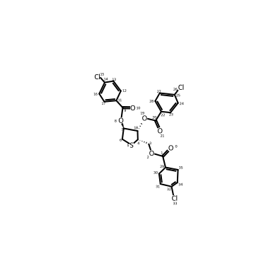 O=C(OC[C@@H]1SC[C@@H](OC(=O)c2ccc(Cl)cc2)[C@@H]1OC(=O)c1ccc(Cl)cc1)c1ccc(Cl)cc1